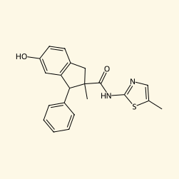 Cc1cnc(NC(=O)C2(C)Cc3ccc(O)cc3C2c2ccccc2)s1